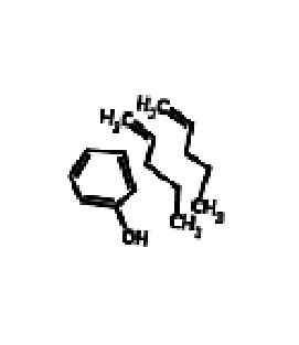 C=CCCC.C=CCCC.Oc1ccccc1